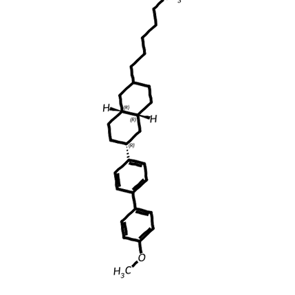 CCCCCCC1CC[C@@H]2C[C@H](c3ccc(-c4ccc(OC)cc4)cc3)CC[C@@H]2C1